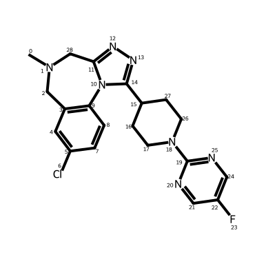 CN1Cc2cc(Cl)ccc2-n2c(nnc2C2CCN(c3ncc(F)cn3)CC2)C1